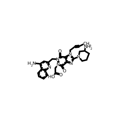 CC#CCn1c(N2CCCC(N)C2)nc2c(=O)n(CC(=O)O)n(Cc3cc(N)c4ccccc4n3)c(=O)c21